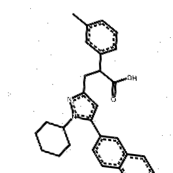 Cc1cccc(C(Cc2cc(-c3ccc4ccccc4c3)n(C3CCCCC3)n2)C(=O)O)c1